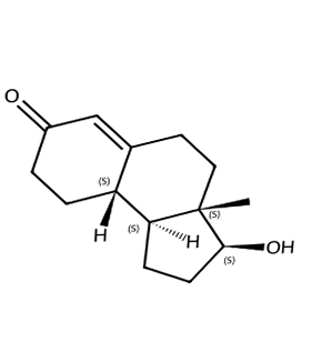 C[C@]12CCC3=CC(=O)CC[C@H]3[C@@H]1CC[C@@H]2O